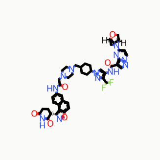 O=C1CC[C@H](c2noc3ccc4cc(NC(=O)CN5CCN(CC6CCC(n7cc(NC(=O)c8cnn9ccc(N%10C[C@H]%11C[C@@H]%10CO%11)nc89)c(C(F)F)n7)CC6)CC5)ccc4c23)C(=O)N1